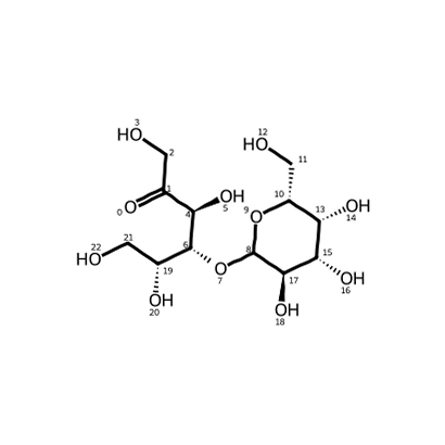 O=C(CO)[C@@H](O)[C@H](OC1O[C@H](CO)[C@H](O)[C@H](O)[C@H]1O)[C@H](O)CO